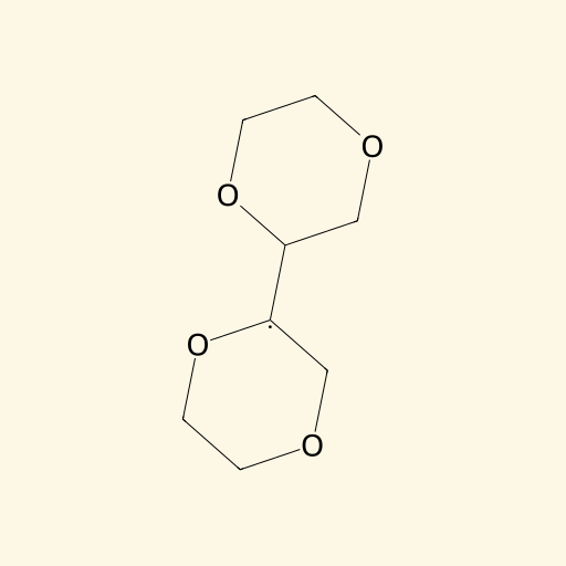 C1CO[C](C2COCCO2)CO1